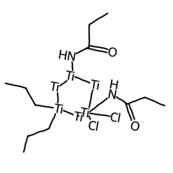 CC[CH2][Ti]1([CH2]CC)[Ti][Ti]([NH]C(=O)CC)[Ti][Ti]([Cl])([Cl])([NH]C(=O)CC)[Ti]1